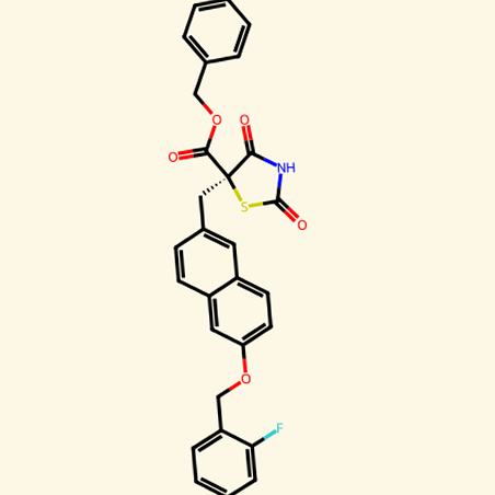 O=C1NC(=O)[C@](Cc2ccc3cc(OCc4ccccc4F)ccc3c2)(C(=O)OCc2ccccc2)S1